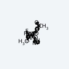 CSc1ccc(OC(F)F)c(C2NN(CC(=O)N3CCC(N(C)C4COC4)CC3)C=C2NC(=O)c2cnn3cccnc23)c1